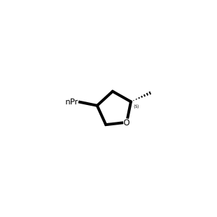 CCCC1CO[C@@H](C)C1